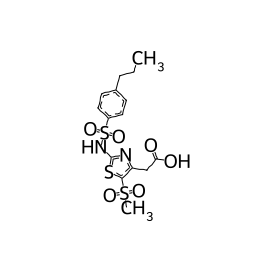 CCCc1ccc(S(=O)(=O)Nc2nc(CC(=O)O)c(S(C)(=O)=O)s2)cc1